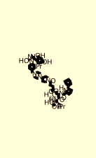 CC(C)C[C@H](NC(=O)[C@@H](NC(=O)c1cccc(-c2ccccc2)n1)[C@@H](C)OC(=O)CCC(=O)N1CCC(N2CCN(Cc3ccc(-n4c(O)nnc4-c4cc(C(C)C)c(O)cc4O)cc3)CC2)CC1)B(O)O